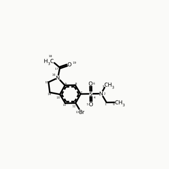 CCN(C)S(=O)(=O)c1cc2c(cc1Br)CCN2C(C)=O